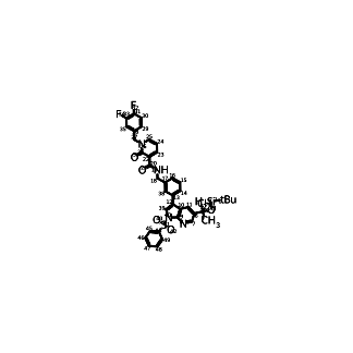 CC(C)(C)[SiH2]OC(C)(C)c1cnc2c(c1)c(-c1cccc(CNC(=O)c3cccn(Cc4ccc(F)c(F)c4)c3=O)c1)cn2S(=O)(=O)c1ccccc1